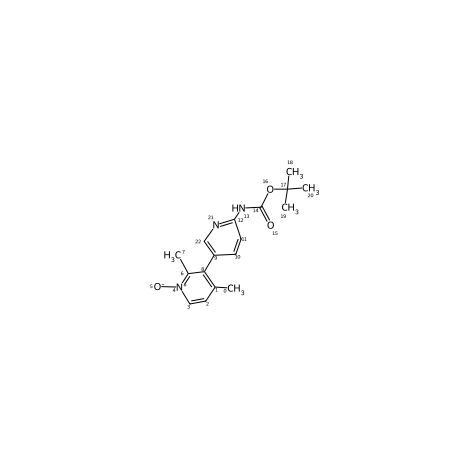 Cc1cc[n+]([O-])c(C)c1-c1ccc(NC(=O)OC(C)(C)C)nc1